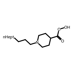 CCCCCCCCCCN1CCC(C(=O)OO)CC1